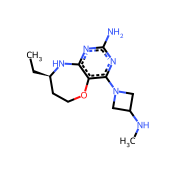 CC[C@@H]1CCOc2c(nc(N)nc2N2CC(NC)C2)N1